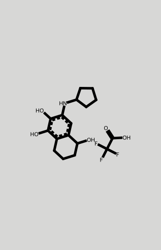 O=C(O)C(F)(F)F.Oc1c(NC2CCCC2)cc2c(c1O)CCCC2O